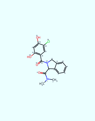 CN(C)C(=O)C1c2ccccc2CN1C(=O)c1cc(Cl)c(O)cc1O